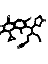 CCN(CCC#N)C(c1c(F)cc2c(=O)[nH]c(=O)n(C3CC3)c2c1C)C1CCNC1